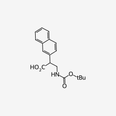 CC(C)(C)OC(=O)NCC(C(=O)O)c1ccc2ccccc2c1